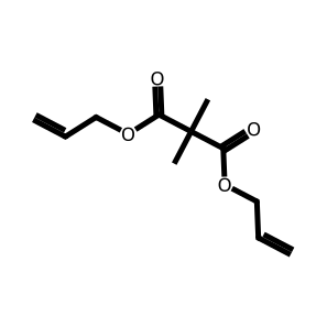 C=CCOC(=O)C(C)(C)C(=O)OCC=C